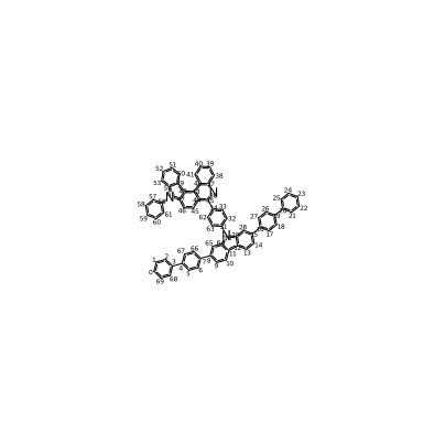 c1ccc(-c2ccc(-c3ccc4c5ccc(-c6ccc(-c7ccccc7)cc6)cc5n(-c5ccc(-c6nc7ccccc7c7c6ccc6c7c7ccccc7n6-c6ccccc6)cc5)c4c3)cc2)cc1